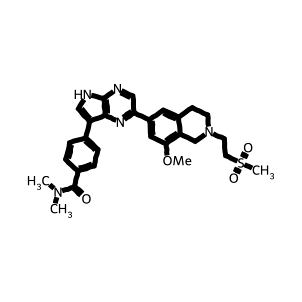 COc1cc(-c2cnc3[nH]cc(-c4ccc(C(=O)N(C)C)cc4)c3n2)cc2c1CN(CCS(C)(=O)=O)CC2